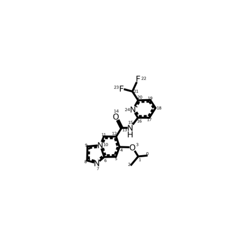 CC(C)Oc1cc2nccn2cc1C(=O)Nc1cccc(C(F)F)n1